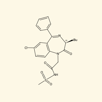 CCC(C)[C@@H]1N=C(c2ccccc2)c2cc(Cl)ccc2N(CC(=O)NS(C)(=O)=O)C1=O